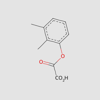 Cc1cccc(OC(=O)C(=O)O)c1C